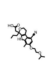 CCCC1(CC(=O)O)OCCc2c1[nH]c1c(C)c(OCCOC(C)C)cc(C#N)c21